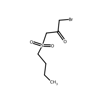 CCCCS(=O)(=O)CC(=O)CBr